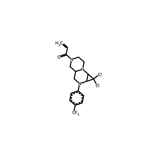 C=CC(=O)N1CCN2C(C1)CN(c1ccc(C(F)(F)F)cc1)C1C2C1(Cl)Cl